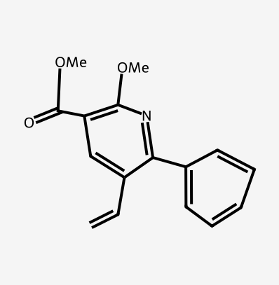 C=Cc1cc(C(=O)OC)c(OC)nc1-c1ccccc1